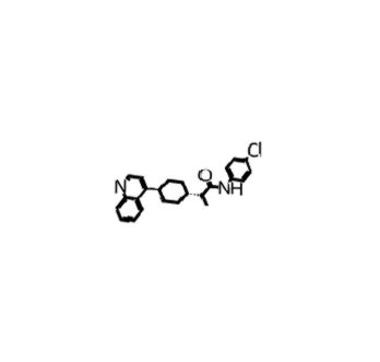 CC(C(=O)Nc1ccc(Cl)cc1)[C@H]1CC[C@H](c2ccnc3ccccc32)CC1